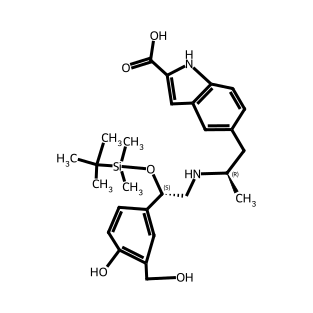 C[C@H](Cc1ccc2[nH]c(C(=O)O)cc2c1)NC[C@@H](O[Si](C)(C)C(C)(C)C)c1ccc(O)c(CO)c1